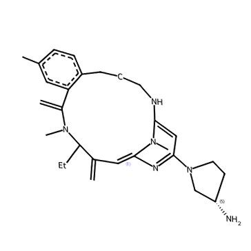 C=C1/C=C2/N=C(N3CC[C@H](N)C3)C=C(NCCCc3ccc(C)cc3C(=C)N(C)C1CC)N2C